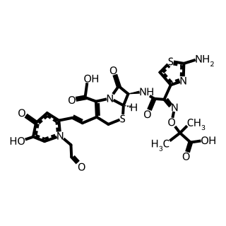 CC(C)(O/N=C(\C(=O)N[C@@H]1C(=O)N2C(C(=O)O)=C(C=Cc3cc(=O)c(O)cn3CC=O)CS[C@H]12)c1csc(N)n1)C(=O)O